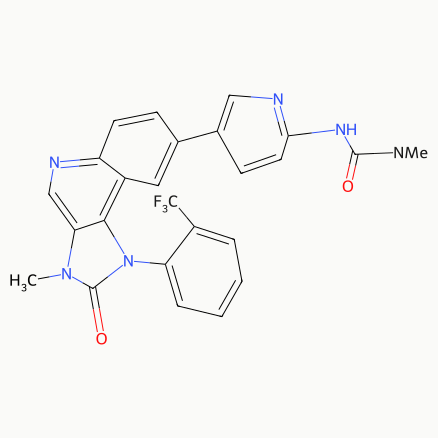 CNC(=O)Nc1ccc(-c2ccc3ncc4c(c3c2)n(-c2ccccc2C(F)(F)F)c(=O)n4C)cn1